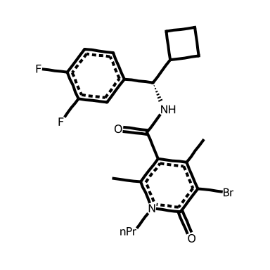 CCCn1c(C)c(C(=O)N[C@H](c2ccc(F)c(F)c2)C2CCC2)c(C)c(Br)c1=O